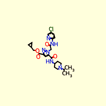 CC(C)N1CCC(NC(=O)c2cc(C(=O)OCC3CC3)nn2CC(=O)Nc2ccc(Cl)cn2)CC1